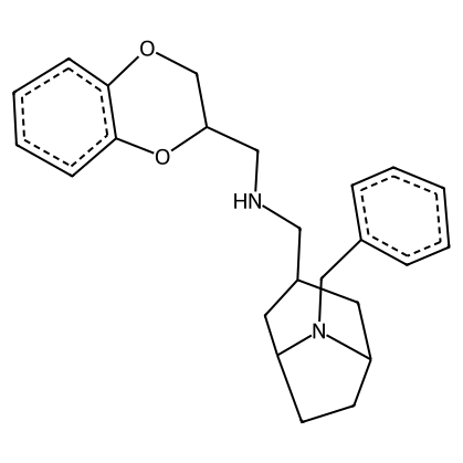 c1ccc(CN2C3CCC2CC(CNCC2COc4ccccc4O2)C3)cc1